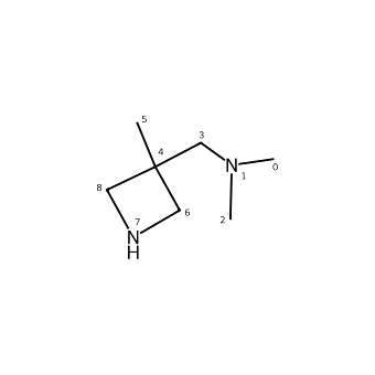 CN(C)CC1(C)CNC1